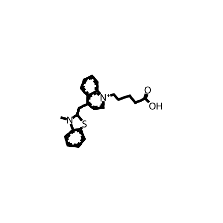 CN1c2ccccc2SC1Cc1cc[n+](CCCCC(=O)O)c2ccccc12